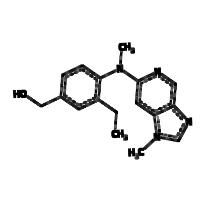 CCc1cc(CO)ccc1N(C)c1cc2c(cn1)ncn2C